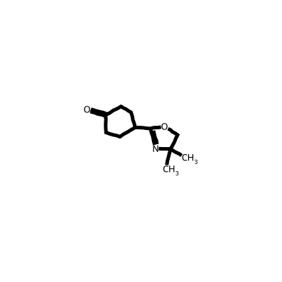 CC1(C)COC(C2CCC(=O)CC2)=N1